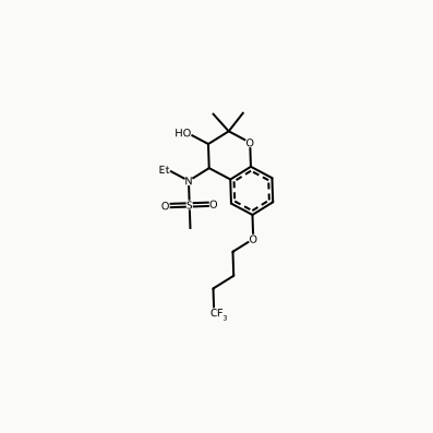 CCN(C1c2cc(OCCCC(F)(F)F)ccc2OC(C)(C)C1O)S(C)(=O)=O